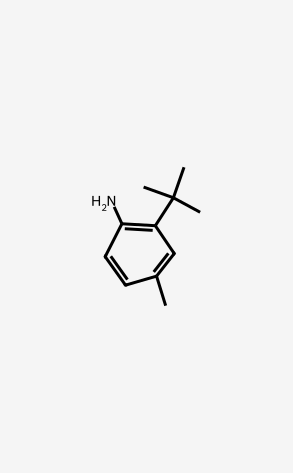 Cc1ccc(N)c(C(C)(C)C)c1